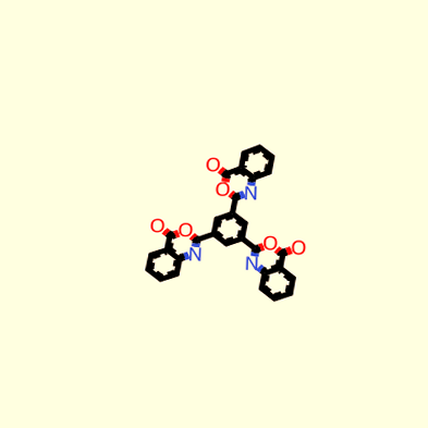 O=c1oc(-c2cc(-c3nc4ccccc4c(=O)o3)cc(-c3nc4ccccc4c(=O)o3)c2)nc2ccccc12